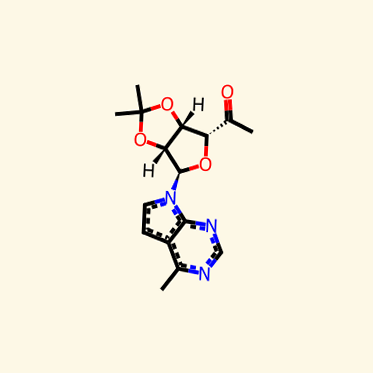 CC(=O)[C@@H]1O[C@@H](n2ccc3c(C)ncnc32)[C@@H]2OC(C)(C)O[C@@H]21